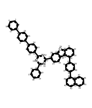 c1ccc(-c2ccc(-c3ccc(-c4nc(-c5ccccc5)nc(-c5ccc6c(c5)oc5cccc(-c7ccc(-c8cccc9ccccc89)cc7)c56)n4)cc3)cc2)cc1